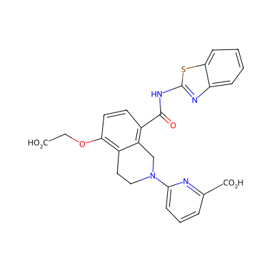 O=C(O)COc1ccc(C(=O)Nc2nc3ccccc3s2)c2c1CCN(c1cccc(C(=O)O)n1)C2